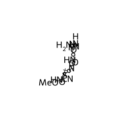 COCCNC(=O)/C(C#N)=C/c1cc2c(s1)-c1ccc(N(C)CCOC(=O)NCc3ccc(COc4nc(N)nc5[nH]cnc45)cc3)cc1C2(C)C